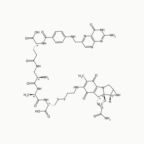 CO[C@@]12[C@H](COC(N)=O)C3=C(C(=O)C(C)=C(NCCSSC[C@@H](NC(=O)[C@@H](C)NC(=O)[C@H](N)CNC(=O)CC[C@@H](NC(=O)c4ccc(NCc5cnc6nc(N)[nH]c(=O)c6n5)cc4)C(=O)O)C(=O)O)C3=O)N1CC1N[C@@H]12